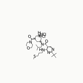 CSCCCNc1nc(C(C)(C)C)ncc1C(=O)N(CC(C)C)[C@@H]1CNC[C@H](C(=O)N2CCOCC2)C1.Cl.Cl